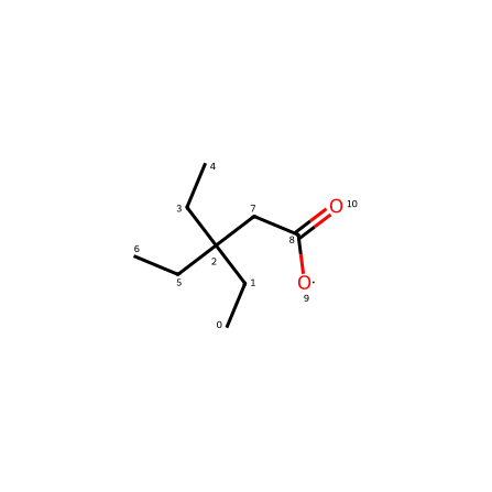 CCC(CC)(CC)CC([O])=O